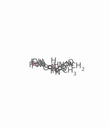 C=CC(=O)N1CCC(Nc2cc3c(Nc4ccc(Oc5ccnc(N6CC[C@](O)(C(F)(F)F)C6)c5)cc4F)ncnc3cc2OC)CC1